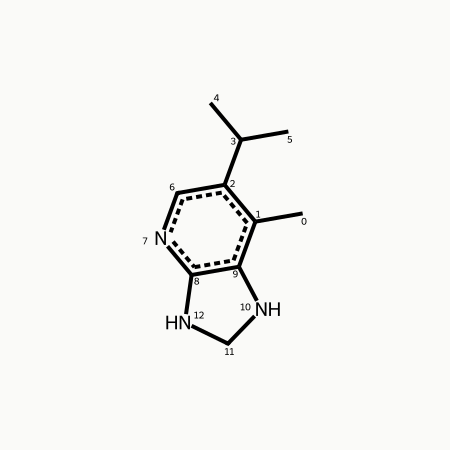 Cc1c(C(C)C)cnc2c1NCN2